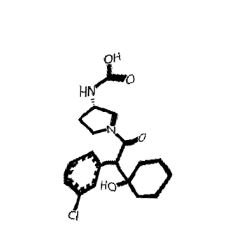 O=C(O)N[C@H]1CCN(C(=O)C(c2cccc(Cl)c2)C2(O)CCCCC2)C1